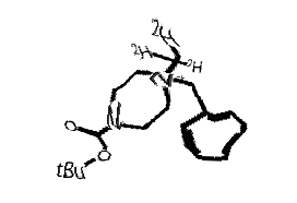 [2H]C([2H])([2H])[N+]1(Cc2ccccc2)CCN(C(=O)OC(C)(C)C)CC1